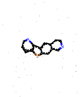 c1cnc2c(c1)sc1cc3cnccc3cc12